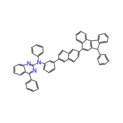 c1ccc(-c2nc(N(c3ccccc3)c3cccc(-c4ccc5cc(-c6cc7c(c8ccccc68)-c6ccccc6C7c6ccccc6)ccc5c4)c3)nc3ccccc23)cc1